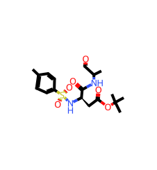 Cc1ccc(S(=O)(=O)N[C@H](CC(=O)OC(C)(C)C)C(=O)NC(C)C=O)cc1